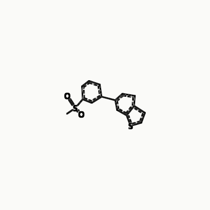 CS(=O)(=O)c1cccc(-c2ccc3ccsc3c2)c1